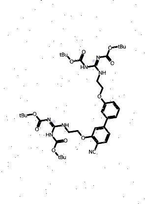 CC(C)(C)OC(=O)/N=C(/NCCOc1cc(-c2cccc(OCCN/C(=N\C(=O)OC(C)(C)C)NC(=O)OC(C)(C)C)c2)ccc1C#N)NC(=O)OC(C)(C)C